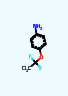 Nc1ccc(OC(F)(F)C(Cl)(Cl)Cl)cc1